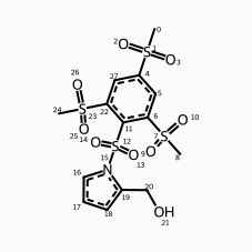 CS(=O)(=O)c1cc(S(C)(=O)=O)c(S(=O)(=O)n2cccc2CO)c(S(C)(=O)=O)c1